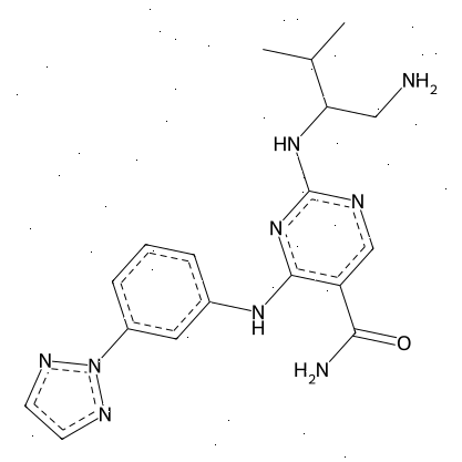 CC(C)C(CN)Nc1ncc(C(N)=O)c(Nc2cccc(-n3nccn3)c2)n1